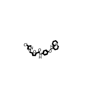 O=C(Nc1ccc(OC[C@@H]2CCCN3CCCC[C@H]23)cc1)c1ccc(Cn2cc(Cl)cn2)o1